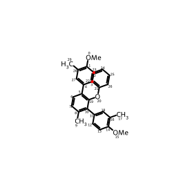 COc1ccc(-c2c[c]c(C)c(-c3ccc(OC)c(C)c3)c2Oc2ccccc2)cc1C